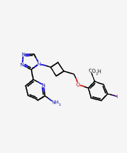 Nc1cccc(-c2nncn2C2CC(COc3ccc(I)cc3C(=O)O)C2)n1